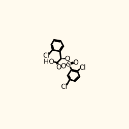 O=C(O)[C@H](OS(=O)(=O)c1cc(Cl)ccc1Cl)c1ccccc1Cl